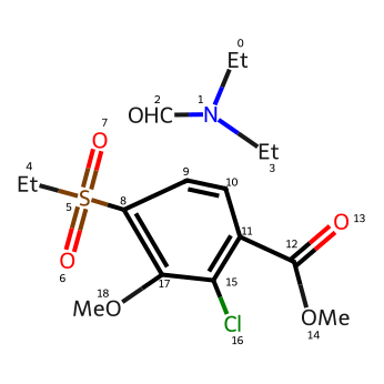 CCN(C=O)CC.CCS(=O)(=O)c1ccc(C(=O)OC)c(Cl)c1OC